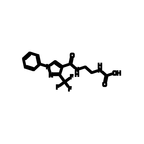 O=C(O)NCCNC(=O)c1cn(-c2ccccc2)nc1C(F)(F)F